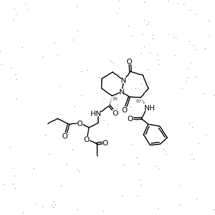 CCC(=O)OC(CNC(=O)[C@@H]1CCCN2C(=O)CC[C@H](NC(=O)c3ccccc3)C(=O)N12)OC(C)=O